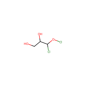 OCC(O)C(Cl)OCl